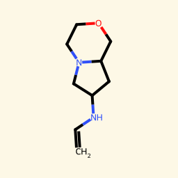 C=CNC1CC2COCCN2C1